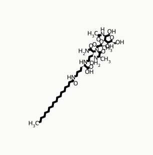 CCCCCCCCCCCCCCCCCC(=O)NCCCC[C@H](NC(=O)CC[C@H](C(N)=O)N(C(=O)C(C)O[C@H]1[C@H](O)[C@@H](CO)O[C@H](O)[C@@H]1NC(C)=O)C(=O)[C@H](C)N)C(=O)O